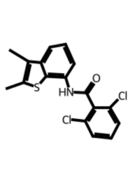 Cc1sc2c(NC(=O)c3c(Cl)cccc3Cl)cccc2c1C